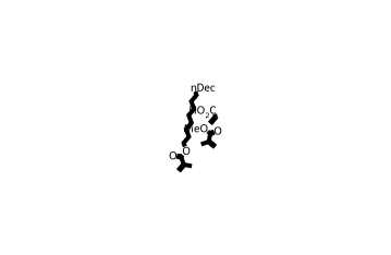 C=C(C)C(=O)OC.C=C(C)C(=O)OCCCCCCCCCCCCCCCCCC.C=CC(=O)O